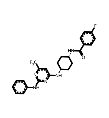 O=C(N[C@H]1CC[C@@H](Nc2cc(C(F)(F)F)nc(Nc3ccccc3)n2)CC1)c1ccc(F)cc1